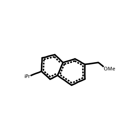 COCc1ccc2cc(C(C)C)ccc2c1